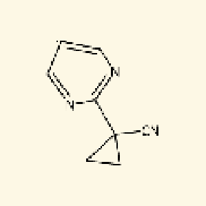 N#CC1(c2nc[c]cn2)CC1